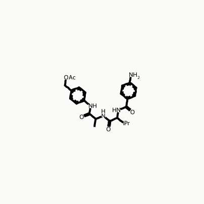 CC(=O)OCc1ccc(NC(=O)C(C)NC(=O)C(NC(=O)c2ccc(N)cc2)C(C)C)cc1